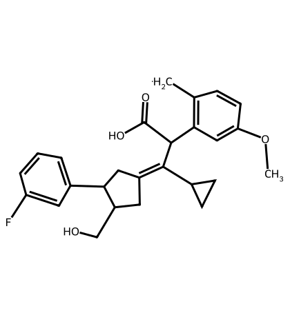 [CH2]c1ccc(OC)cc1C(C(=O)O)/C(=C1/CC(CO)C(c2cccc(F)c2)C1)C1CC1